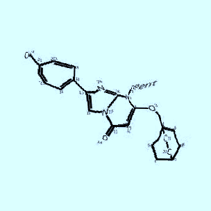 CCCCCn1c(OC23CCC(CC2)CC3)cc(=O)n2cc(-c3ccc(Cl)cc3)nc12